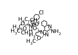 CCOCc1nc2c(N)nc3ccccc3c2n1[C@H](C)COP(=O)(N[C@H](C(=O)OC(C)(C)C)C(C)C)Oc1ccc(Cl)cc1